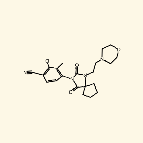 Cc1c(N2C(=O)N(CCN3CCOCC3)C3(CCCC3)C2=O)ccc(C#N)c1Cl